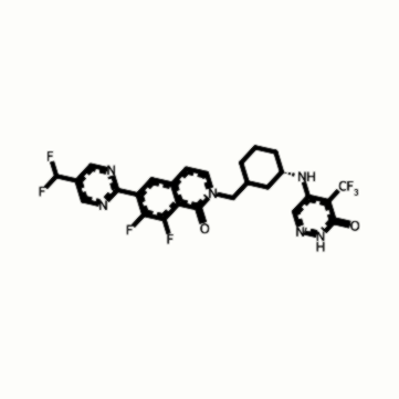 O=c1[nH]ncc(N[C@H]2CCCC(Cn3ccc4cc(-c5ncc(C(F)F)cn5)c(F)c(F)c4c3=O)C2)c1C(F)(F)F